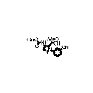 CO[C@@H](C)c1c(NC(=O)OC(C)(C)C)cnn1-c1cccc(C#N)c1